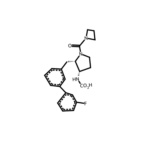 O=C(O)N[C@H]1CCN(C(=O)N2CCC2)[C@H]1Cc1cccc(-c2cccc(F)c2)c1